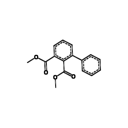 COC(=O)c1cccc(-c2ccccc2)c1C(=O)OC